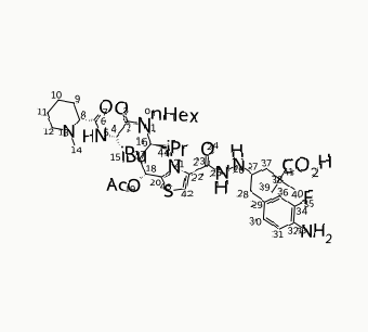 CCCCCCN(C(=O)[C@@H](NC(=O)[C@H]1CCCCN1C)[C@@H](C)CC)[C@H](C[C@@H](OC(C)=O)c1nc(C(=O)NNC(Cc2ccc(N)c(F)c2)CC(C)(C)C(=O)O)cs1)C(C)C